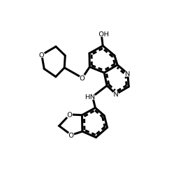 Oc1cc(OC2CCOCC2)c2c(Nc3cccc4c3OCO4)ncnc2c1